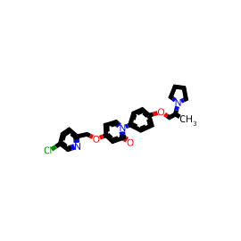 CC(COc1ccc(-n2ccc(OCc3ccc(Cl)cn3)cc2=O)cc1)N1CCCC1